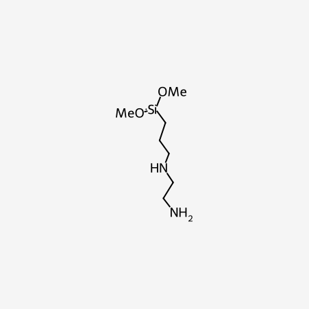 CO[Si](CCCNCCN)OC